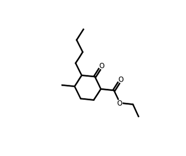 CCCCC1C(=O)C(C(=O)OCC)CCC1C